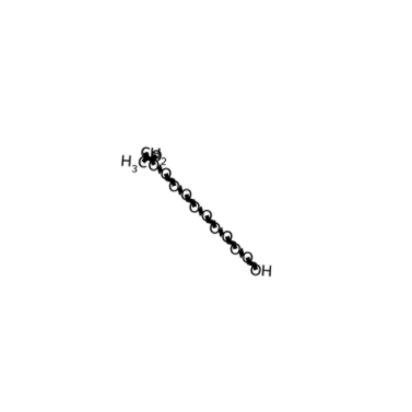 C=C(C)C(=O)OCCOCCOCCOCCOCCOCCOCCOCCOCCOCCO